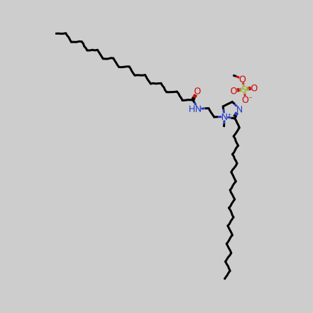 CCCCCCCCCCCCCCCCCCC1=NCC[N+]1(C)CCNC(=O)CCCCCCCCCCCCCCCCC.COS(=O)(=O)[O-]